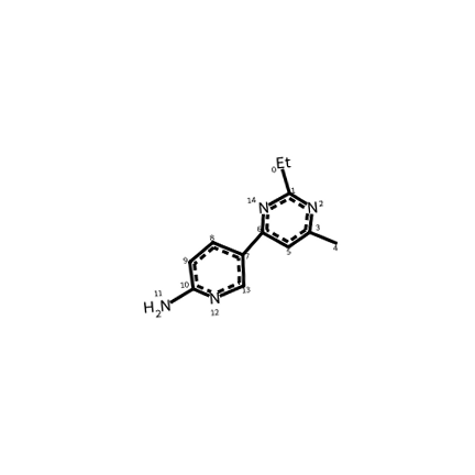 CCc1nc(C)cc(-c2ccc(N)nc2)n1